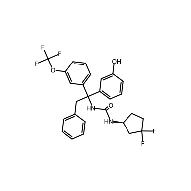 O=C(N[C@H]1CCC(F)(F)C1)NC(Cc1ccccc1)(c1cccc(O)c1)c1cccc(OC(F)(F)F)c1